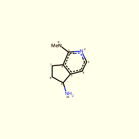 CNc1nccc2c1CCC2N